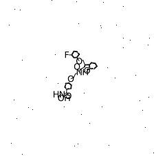 O=C(NO)c1ccc(OCCNC(=O)c2oc3ccccc3c2COc2cccc(F)c2)cc1